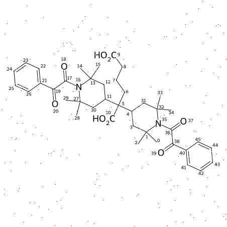 CC1(C)CC(C(CCCC(=O)O)(C(=O)O)C2CC(C)(C)N(C(=O)C(=O)c3ccccc3)C(C)(C)C2)CC(C)(C)N1C(=O)C(=O)c1ccccc1